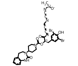 C[S+]([O-])N=C=C=NC=C=C=NC(=O)[C@@H](Cc1cc(Br)c(O)c(Br)c1)OC(=O)N1CCC(N2CCc3ccccc3NC2=O)CC1